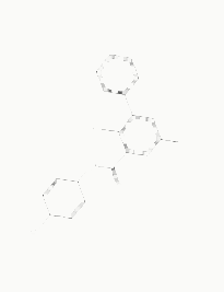 O=C(OC1C=CC(Br)C=C1)c1cc(O)cc(-c2ccccc2)c1O